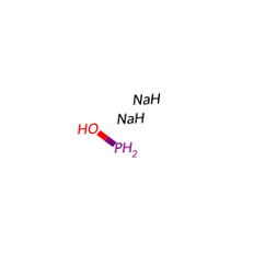 OP.[NaH].[NaH]